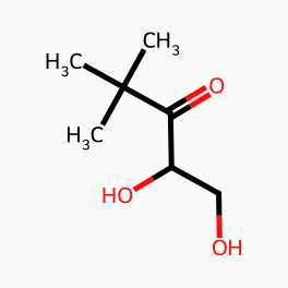 CC(C)(C)C(=O)C(O)CO